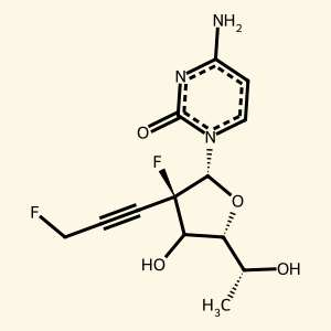 C[C@@H](O)[C@H]1O[C@@H](n2ccc(N)nc2=O)[C@@](F)(C#CCF)C1O